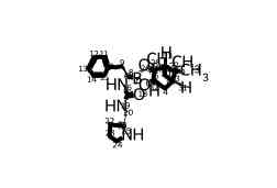 CC1(C)[C@@H]2C[C@H]3OB([C@H](Cc4ccccc4)NC(=O)NC[C@H]4CCCN4)O[C@@]3(C)[C@H]1C2